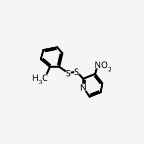 Cc1ccccc1SSc1ncccc1[N+](=O)[O-]